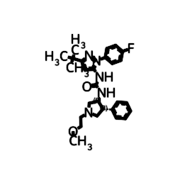 COCCN1C[C@@H](NC(=O)Nc2cc(C(C)(C)C)nn2-c2ccc(F)cc2)[C@H](c2ccccc2)C1